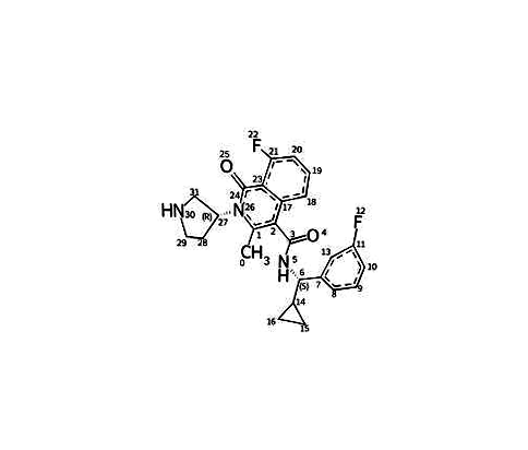 Cc1c(C(=O)N[C@H](c2cccc(F)c2)C2CC2)c2cccc(F)c2c(=O)n1[C@@H]1CCNC1